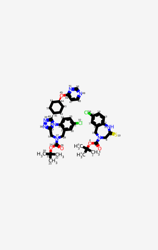 CC(C)(C)OC(=O)N1CC(=S)Nc2ccc(Cl)cc2C1.CC(C)(C)OC(=O)N1Cc2cc(Cl)ccc2-n2c(nnc2[C@H]2CC[C@H](Oc3ccncn3)CC2)C1